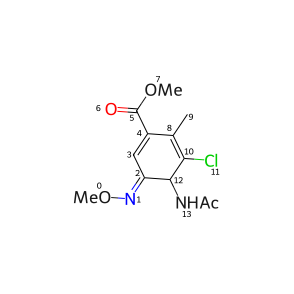 CON=C1C=C(C(=O)OC)C(C)=C(Cl)C1NC(C)=O